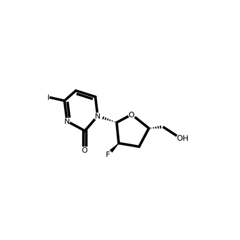 O=c1nc(I)ccn1[C@@H]1O[C@H](CO)C[C@H]1F